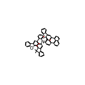 CC1(C)c2ccccc2-c2cc(N(c3ccc(-c4cccc5cccc(-c6ccc7sc8ccccc8c7c6)c45)cc3)c3ccccc3-c3ccc4oc5ccccc5c4c3)ccc21